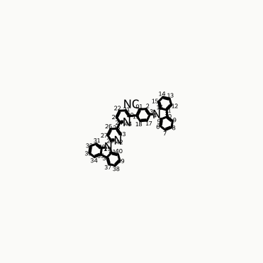 N#Cc1cc(-n2c3ccccc3c3ccccc32)ccc1-c1cccc(-c2ccc(-n3c4ccccc4c4ccccc43)nc2)n1